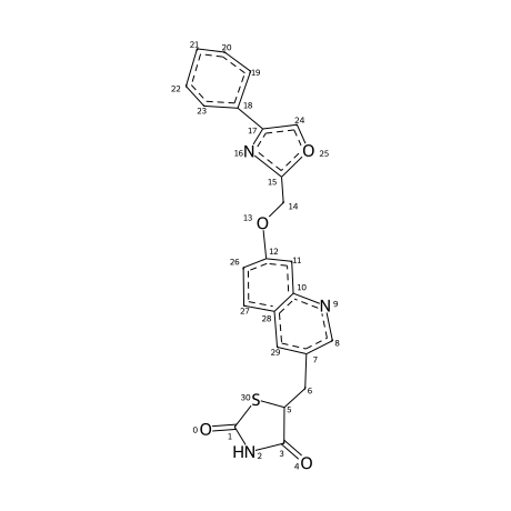 O=C1NC(=O)C(Cc2cnc3cc(OCc4nc(-c5ccccc5)co4)ccc3c2)S1